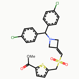 COC(=O)c1ccc(CS(=O)(=O)C=C2CN(C(c3ccc(Cl)cc3)c3ccc(Cl)cc3)C2)s1